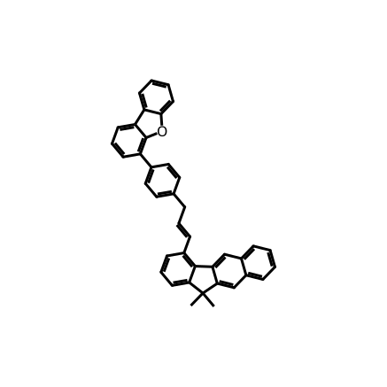 CC1(C)c2cc3ccccc3cc2-c2c(/C=C/Cc3ccc(-c4cccc5c4oc4ccccc45)cc3)cccc21